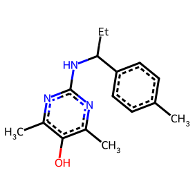 CCC(Nc1nc(C)c(O)c(C)n1)c1ccc(C)cc1